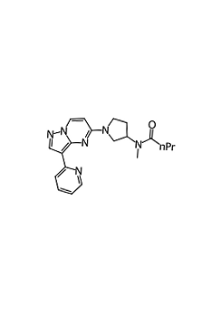 CCCC(=O)N(C)C1CCN(c2ccn3ncc(-c4ccccn4)c3n2)C1